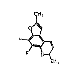 Cc1cc2c3c(c(F)c(F)c2o1)OC(C)C=C3